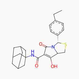 CCc1ccc([C@@H]2SCC3C(O)=C(C(=O)NC45CC6CC(CC(C6)C4)C5)C(=O)N32)cc1